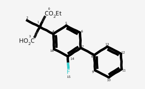 CCOC(=O)C(C)(C(=O)O)c1ccc(-c2ccccc2)c(F)c1